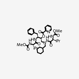 COC(=O)N[C@H](C(=O)N[C@@H](Cc1ccccc1)[C@H](CN(CC1CCCCC1)NC(=O)[C@@H](NC(=O)OC)C(C)C)OC(=O)c1ccccn1)C(C)C